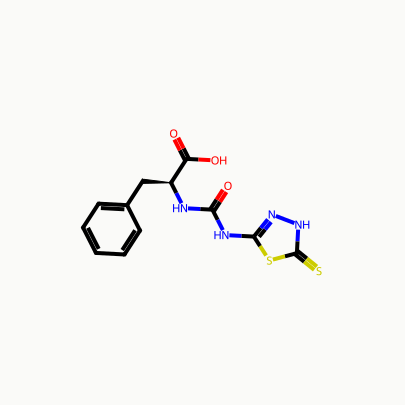 O=C(Nc1n[nH]c(=S)s1)N[C@@H](Cc1ccccc1)C(=O)O